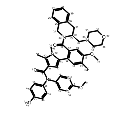 COc1ncc(N(C(=O)c2cc(-c3cc(F)c(OC)cc3C(=O)N3Cc4ccccc4C[C@H]3CN3CCOCC3)n(C)c2C)c2ccc(O)cc2)cn1